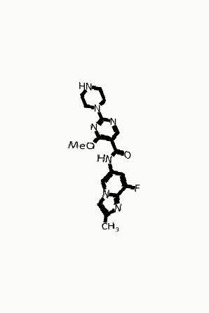 COc1nc(N2CCNCC2)ncc1C(=O)Nc1cc(F)c2nc(C)cn2c1